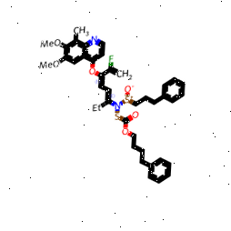 C=C(F)/C(=C\C=C(/CC)N(SC(=O)OCCCCc1ccccc1)[S+]([O-])CCCc1ccccc1)Oc1ccnc2c(C)c(OC)c(OC)cc12